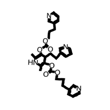 CC1=C(OC(=O)OCCCc2cccnc2)C(CCc2cccnc2)C(OC(=O)OCCCc2cccnc2)=C(C)N1